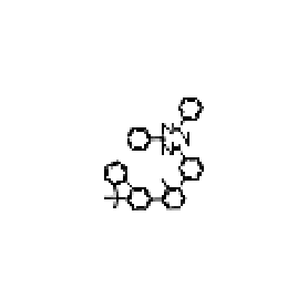 Cc1c(-c2cccc(-c3nc(-c4ccccc4)nc(-c4ccccc4)n3)c2)cccc1-c1ccc2c(c1)-c1ccccc1C2(C)C